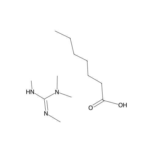 CCCCCCC(=O)O.CN=C(NC)N(C)C